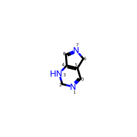 C1=NCNC2=C1CN=C2